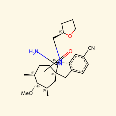 CO[C@H]1[C@H](C)C[C@]2(CC[C@@H]1C)Cc1ccc(C#N)cc1[C@]21N=C(N)N(C[C@H]2CCCO2)C1=O